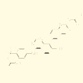 CC(=O)Nc1ncc2cc(-c3c(C)ccc4c(Nc5ccc6c(c5)NC(=O)CC6(C)C)ncnc34)ccc2n1